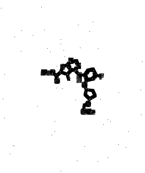 COCO[C@H]1CC[C@H](Oc2cc(F)ccc2Nc2ncnc3c2C(C)C(C(=O)OC)S3)C1